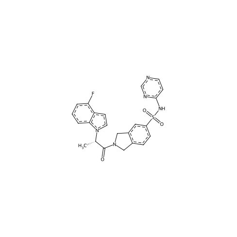 C[C@@H](C(=O)N1Cc2ccc(S(=O)(=O)Nc3ccncn3)cc2C1)n1ccc2c(F)cccc21